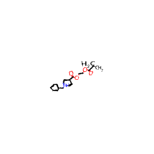 C=C(C)C(=O)OCCOC(=O)c1cc[n+](Cc2ccccc2)cc1